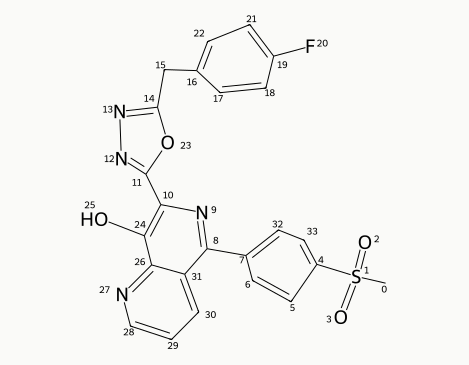 CS(=O)(=O)c1ccc(-c2nc(-c3nnc(Cc4ccc(F)cc4)o3)c(O)c3ncccc23)cc1